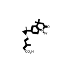 CC(/C=C/[C@@H]1C[C@]1(C)c1ccc2c(c1)C(C)(C)CC(=O)N2C(C)C)=C\C(=O)O